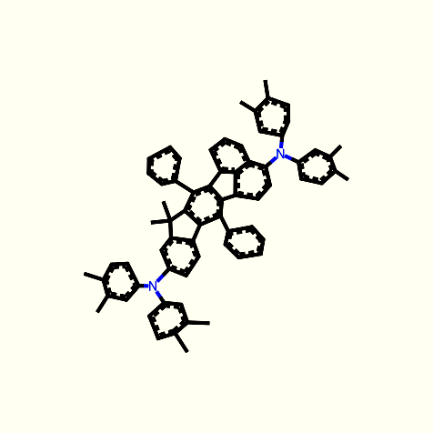 Cc1ccc(N(c2ccc(C)c(C)c2)c2ccc3c(c2)C(C)(C)c2c(-c4ccccc4)c4c(c(-c5ccccc5)c2-3)-c2ccc(N(c3ccc(C)c(C)c3)c3ccc(C)c(C)c3)c3cccc-4c23)cc1C